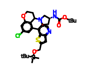 CC(C)(C)OC(=O)N[C@@H]1CCN(C2CCOc3cc(Cl)cc(-c4ccnc5cc(CO[Si](C)(C)C(C)(C)C)sc45)c32)C1